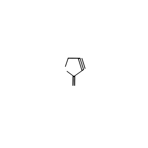 O=C1C#CCO1